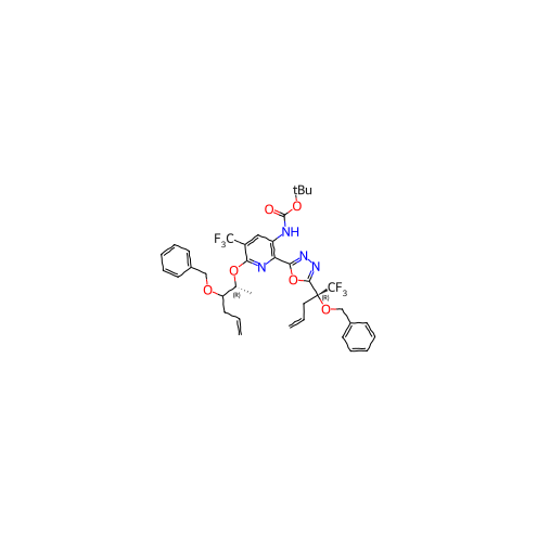 C=CCC(OCc1ccccc1)[C@@H](C)Oc1nc(-c2nnc([C@@](CC=C)(OCc3ccccc3)C(F)(F)F)o2)c(NC(=O)OC(C)(C)C)cc1C(F)(F)F